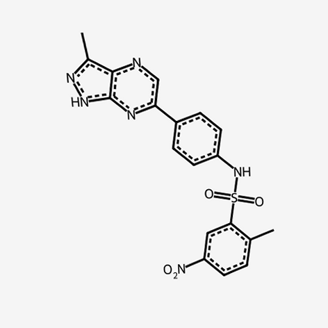 Cc1ccc([N+](=O)[O-])cc1S(=O)(=O)Nc1ccc(-c2cnc3c(C)n[nH]c3n2)cc1